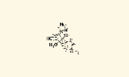 CCC(n1cncn1)C(O)(c1ccc(C)cc1)C(C)(C)C(=O)O